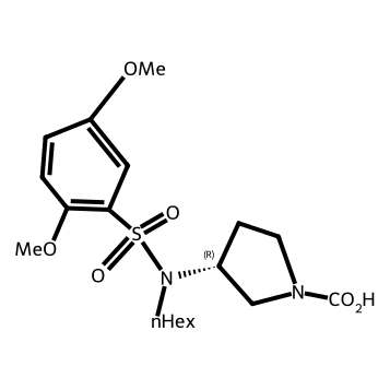 CCCCCCN([C@@H]1CCN(C(=O)O)C1)S(=O)(=O)c1cc(OC)ccc1OC